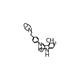 Cc1cccc2c1C(=CNc1ccc(CCN3CCOCC3)cc1)C(=O)N2